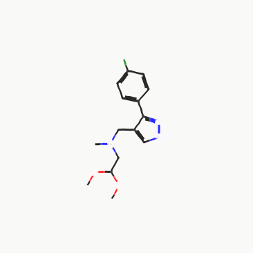 COC(CN(C)Cc1c[nH]nc1-c1ccc(F)cc1)OC